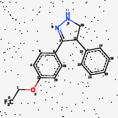 FC(F)(F)COc1ccc(C2=NNCC2c2ccccc2)cc1